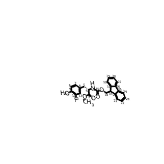 COC(=O)[C@H](Cc1ccc(O)c(F)c1)NC(=O)OCC1c2ccccc2-c2ccccc21